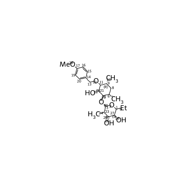 CCC1O[C@H](O[C@@H]2C(C)C[C@@H](C)C(OCc3ccc(OC)cc3)[C@H]2O)C(C)[C@@H](O)[C@@H]1O